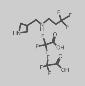 FC(F)(F)CCNCC1CNC1.O=C(O)C(F)(F)F.O=C(O)C(F)(F)F